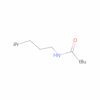 CC(C)CCCNC(=O)C(C)(C)C